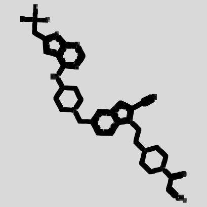 C=CC(=O)N1CCN(CCn2c(C#N)cc3cc(CN4CCC(Nc5ncnc6sc(CC(F)(F)F)cc56)CC4)ccc32)CC1